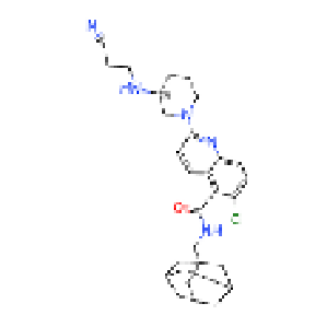 N#CCCN[C@H]1CCCN(c2ccc3c(C(=O)NCC45CC6CC(CC(C6)C4)C5)c(Cl)ccc3n2)C1